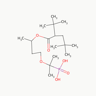 CC(CCOC(C)(C)P(=O)(O)O)OC(=O)C(CC(C)(C)C)C(C)(C)C